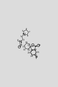 CN(CCN1CCCC1)C(=O)[C@H]1CC[C@@]2(CC1)OC(=O)c1cc(F)ccc12